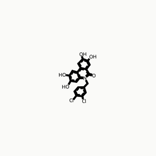 O=c1c2cc(O)c(O)cc2c2cc(O)c(O)cc2n1Cc1ccc(Cl)c(Cl)c1